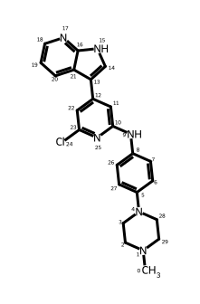 CN1CCN(c2ccc(Nc3cc(-c4c[nH]c5ncccc45)cc(Cl)n3)cc2)CC1